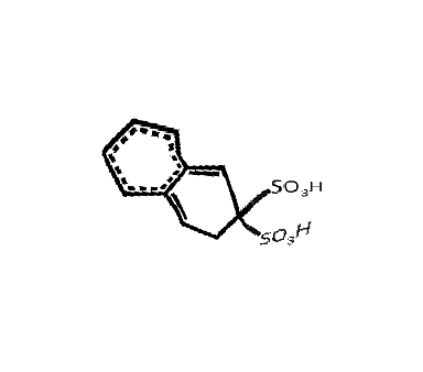 O=S(=O)(O)C1(S(=O)(=O)O)C=c2ccccc2=CC1